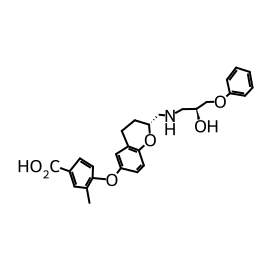 Cc1cc(C(=O)O)ccc1Oc1ccc2c(c1)CC[C@H](CNC[C@H](O)COc1ccccc1)O2